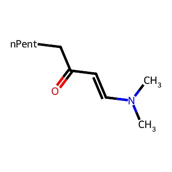 CCCCCCC(=O)C=CN(C)C